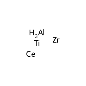 [AlH3].[Ce].[Ti].[Zr]